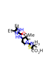 CCc1nc(C(=O)NC2CCN(c3nc(C)c(C(=O)O)s3)CC2OC)[nH]c1CC